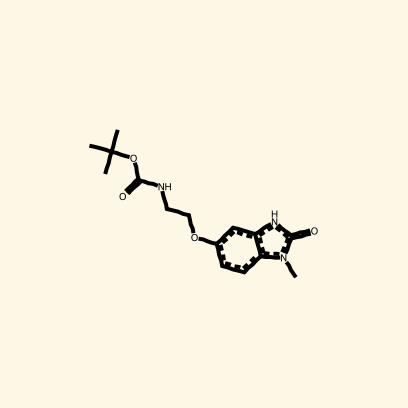 Cn1c(=O)[nH]c2cc(OCCNC(=O)OC(C)(C)C)ccc21